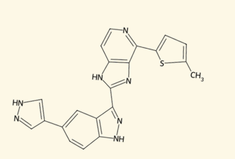 Cc1ccc(-c2nccc3[nH]c(-c4n[nH]c5ccc(-c6cn[nH]c6)cc45)nc23)s1